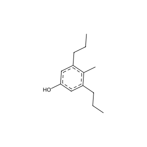 CCCc1cc(O)cc(CCC)c1C